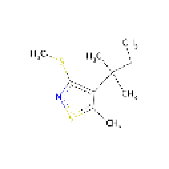 CCC(C)(C)c1c(SC)nsc1C